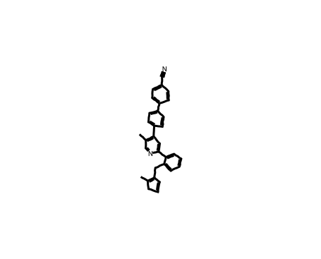 CC1=C(Cc2ccccc2-c2cc(-c3ccc(-c4ccc(C#N)cc4)cc3)c(C)cn2)C=CC1